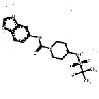 CC(C)(C)S(=O)(=O)NC1CCN(C(=O)Nc2ccc3ocnc3c2)CC1